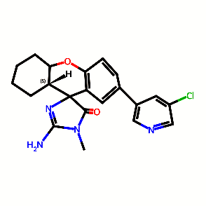 CN1C(=O)C2(N=C1N)c1cc(-c3cncc(Cl)c3)ccc1OC1CCCC[C@H]12